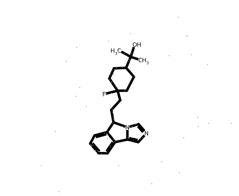 CC(C)(O)C1CCC(F)(CCC2c3ccccc3-c3cncn32)CC1